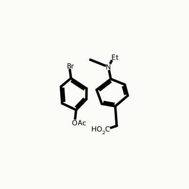 CC(=O)Oc1ccc(Br)cc1.CCN(C)c1ccc(CC(=O)O)cc1